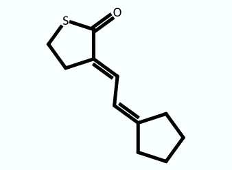 O=C1SCCC1=CC=C1CCCC1